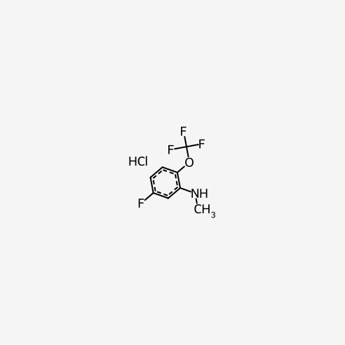 CNc1cc(F)ccc1OC(F)(F)F.Cl